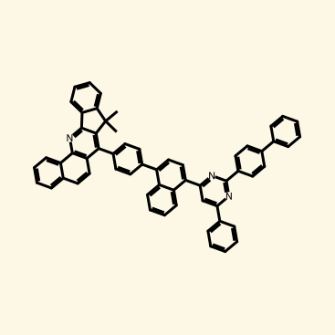 CC1(C)c2ccccc2-c2nc3c(ccc4ccccc43)c(-c3ccc(-c4ccc(-c5cc(-c6ccccc6)nc(-c6ccc(-c7ccccc7)cc6)n5)c5ccccc45)cc3)c21